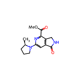 COC(=O)c1nc(N2CCC[C@H]2C)cc2c1CNC2=O